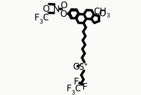 CC12CCC3c4ccc(OC(=O)N5CCOC(C(F)(F)F)C5)cc4CC(CCCCCCCCC[S+]([O-])CCCC(F)(F)C(F)(F)F)C3C1CCC2=O